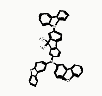 CC1(C)c2cc(N(c3ccc4oc5ccccc5c4c3)c3ccc4oc5ccccc5c4c3)ccc2-c2ccc(-n3c4ccccc4c4ccccc43)cc21